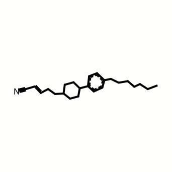 CCCCCCCc1ccc(C2CCC(CCC=CC#N)CC2)cc1